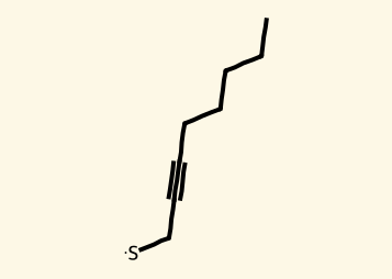 CCCCCC#CC[S]